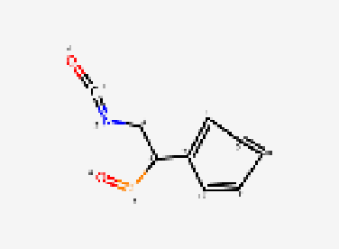 O=C=NCC(P=O)c1ccccc1